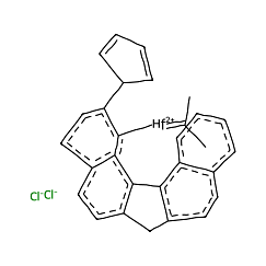 C[C](C)=[Hf+2][c]1c(C2C=CC=C2)ccc2ccc3c(c12)-c1c(ccc2ccccc12)C3.[Cl-].[Cl-]